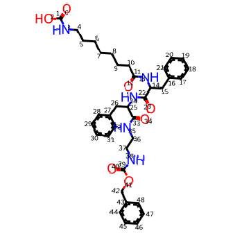 O=C(O)NCCCCCCCC(=O)NC(Cc1ccccc1)C(=O)NC(Cc1ccccc1)C(=O)NCCNC(=O)OCc1ccccc1